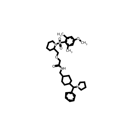 COc1cc(C)c(S(=O)(=O)N2CCCCC2COCC(=O)NCC2CCC(C(c3ccccc3)N3CCCC3)CC2)c(C)c1